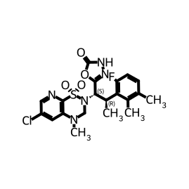 Cc1ccc(F)c([C@@H](C)[C@@H](c2n[nH]c(=O)o2)N2CN(C)c3cc(Cl)cnc3S2(=O)=O)c1C